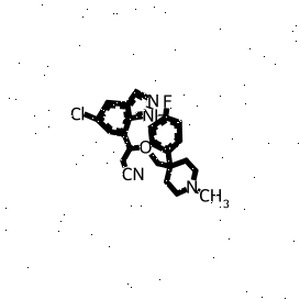 CN1CCC(COC(CC#N)c2cc(Cl)cc3cn[nH]c23)(c2ccc(F)cc2)CC1